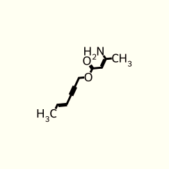 C/C=C/C#CCOC(=O)/C=C(/C)N